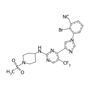 CS(=O)(=O)N1CCC(Nc2ncc(C(F)(F)F)c(-c3cn(-c4cccc(C#N)c4Br)cn3)n2)CC1